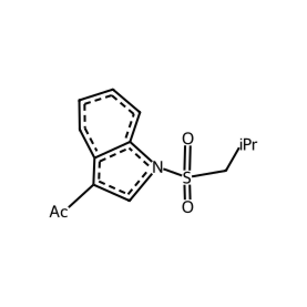 CC(=O)c1cn(S(=O)(=O)CC(C)C)c2ccccc12